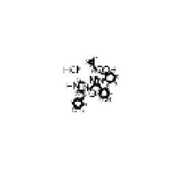 Cl.O=C(c1ncn(C2CCCCC2(O)COCC2CC2)c1-c1ccccc1)N1CCNC[C@H]1Cc1ccccc1